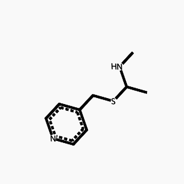 CNC(C)SCc1ccncc1